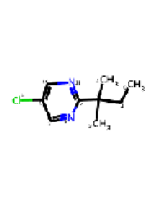 CCC(C)(C)c1ncc(Cl)cn1